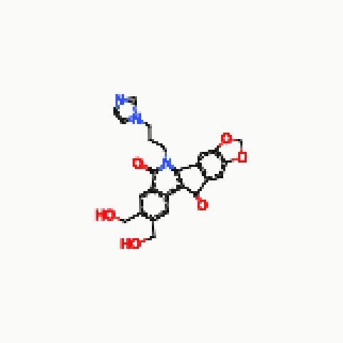 O=C1c2cc3c(cc2-c2c1c1cc(CO)c(CO)cc1c(=O)n2CCCn1ccnc1)OCO3